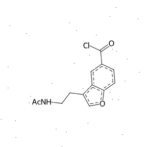 CC(=O)NCCc1coc2ccc(C(=O)Cl)cc12